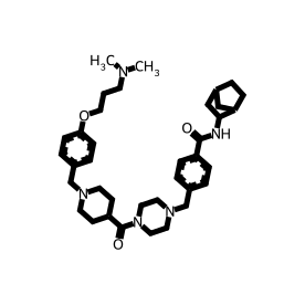 CN(C)CCCOc1ccc(CN2CCC(C(=O)N3CCN(Cc4ccc(C(=O)NC5CC6CCC5C6)cc4)CC3)CC2)cc1